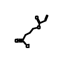 C=CC(=O)OCCC[SiH](Cl)Cl